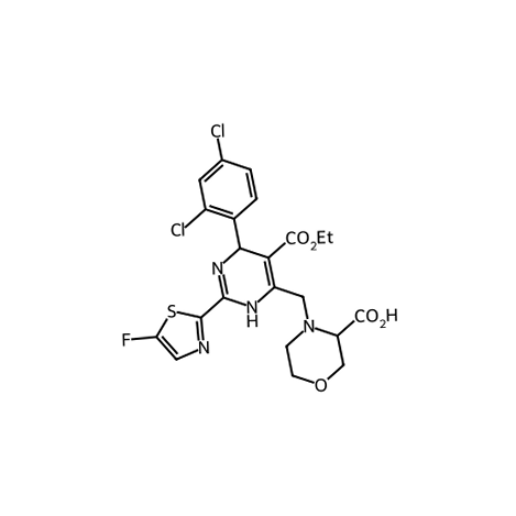 CCOC(=O)C1=C(CN2CCOCC2C(=O)O)NC(c2ncc(F)s2)=NC1c1ccc(Cl)cc1Cl